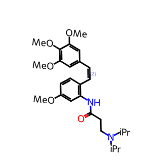 COc1ccc(/C=C\c2cc(OC)c(OC)c(OC)c2)c(NC(=O)CCN(C(C)C)C(C)C)c1